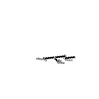 CCCCCCCCCOC(=O)CCCCCCCN(CCCCCCCC(=O)OC(CCCCCCCC)CCCCCCCI)CCCN(OC)C(C)=O